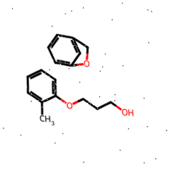 Cc1ccccc1OCCCO.c1cc2cc(c1)OC2